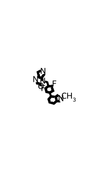 Cn1cc2cccc(-c3cc(F)c(Cn4c(=O)cnc5ccncc54)c(F)c3)c2c1